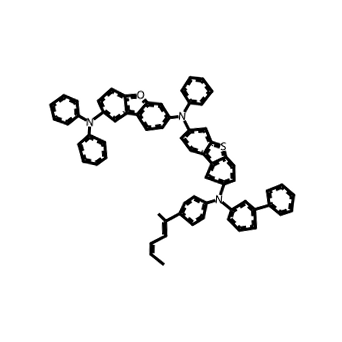 C/C=C\C=C(/C)c1ccc(N(c2cccc(-c3ccccc3)c2)c2ccc3sc4cc(N(c5ccccc5)c5ccc6c(c5)oc5ccc(N(c7ccccc7)c7ccccc7)cc56)ccc4c3c2)cc1